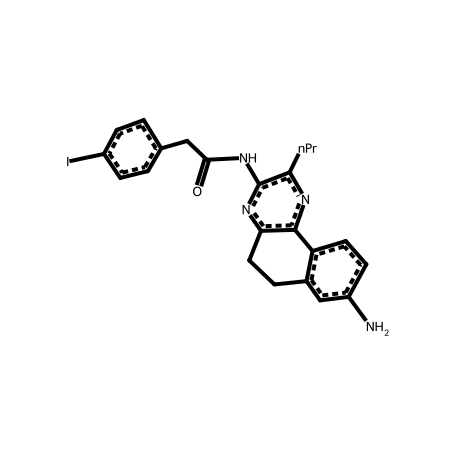 CCCc1nc2c(nc1NC(=O)Cc1ccc(I)cc1)CCc1cc(N)ccc1-2